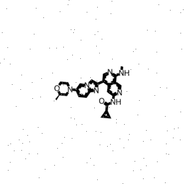 CNc1ncc(-c2cn3cc(N4CCO[C@H](C)C4)ccc3n2)c2cc(NC(=O)C3CC3)ncc12